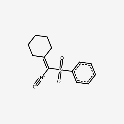 [C-]#[N+]C(=C1CCCCC1)S(=O)(=O)c1ccccc1